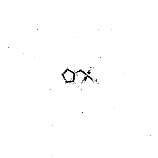 CS(=O)(=O)C[C@@H]1CCC[C@H]1I